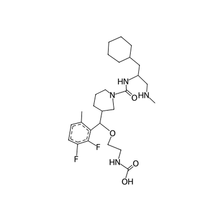 CNCC(CC1CCCCC1)NC(=O)N1CCCC(C(OCCNC(=O)O)c2c(C)ccc(F)c2F)C1